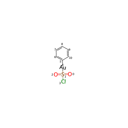 O=[S](=O)(Cl)[Au][c]1ccccc1